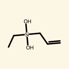 C=CC[Si](O)(O)CC